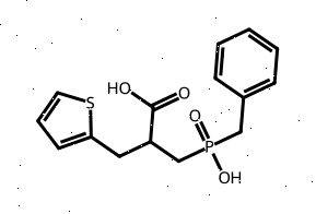 O=C(O)C(Cc1cccs1)CP(=O)(O)Cc1ccccc1